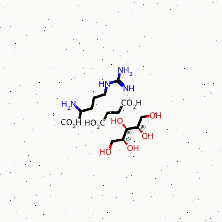 N=C(N)NCCCC(N)C(=O)O.O=C(O)CCC(=O)O.OC[C@@H](O)[C@H](O)[C@@H](O)CO